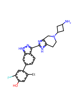 CCc1cc(O)c(F)cc1-c1ccc2c(-c3nc4c([nH]3)CCN(C3CC(N)C3)C4)n[nH]c2c1